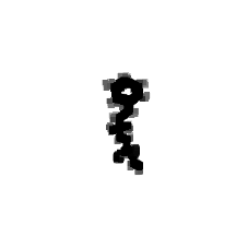 CCOC(=O)CCC(C)(C)CCc1ccccc1